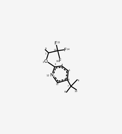 CC(Oc1ccc(C(C)(C)C)cn1)C(F)(F)F